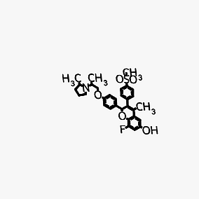 CC1=C(c2ccc(S(C)(=O)=O)cc2)C(c2ccc(OCC(C)N3CCCC3C)cc2)Oc2c(F)cc(O)cc21